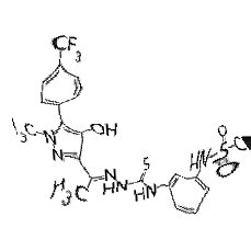 C/C(=N\NC(=S)Nc1cccc(NS(C)(=O)=O)c1)c1nn(C)c(-c2ccc(C(F)(F)F)cc2)c1O